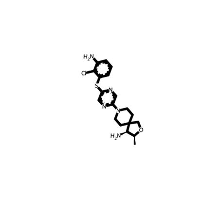 C[C@@H]1OCC2(CCN(c3cnc(Sc4cccc(N)c4Cl)cn3)CC2)[C@@H]1N